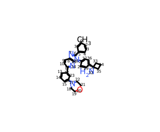 Cc1cccc(-c2nc3ccc(-c4cccc(N5CCOCC5)c4)nc3n2-c2ccc(C3(N)CCC3)cc2)c1